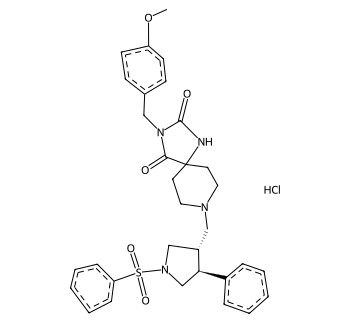 COc1ccc(CN2C(=O)NC3(CCN(C[C@H]4CN(S(=O)(=O)c5ccccc5)C[C@@H]4c4ccccc4)CC3)C2=O)cc1.Cl